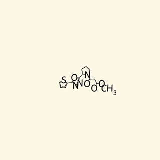 COC(=O)CC(=O)N1CCCC1c1nnc(-c2cccs2)o1